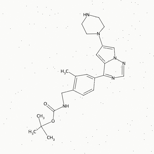 Cc1cc(-c2ncnn3cc(N4CCNCC4)cc23)ccc1CNC(=O)OC(C)(C)C